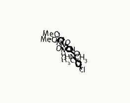 COc1ccc(-n2c(=O)[nH]c3cc(C(=O)NC(C)(C)c4ccc(Cl)cc4)ncc3c2=O)nc1OC